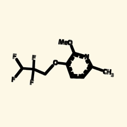 COc1nc(C)ccc1OCC(F)(F)C(F)F